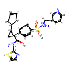 O=C(Nc1nccs1)C1(c2ccc(S(=O)(=O)NCc3cccnc3)cc2)CC1C1CCCC1